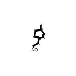 Cc1ccc(CCN=O)cc1